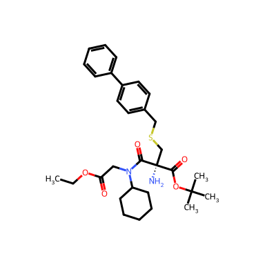 CCOC(=O)CN(C(=O)[C@@](N)(CSCc1ccc(-c2ccccc2)cc1)C(=O)OC(C)(C)C)C1CCCCC1